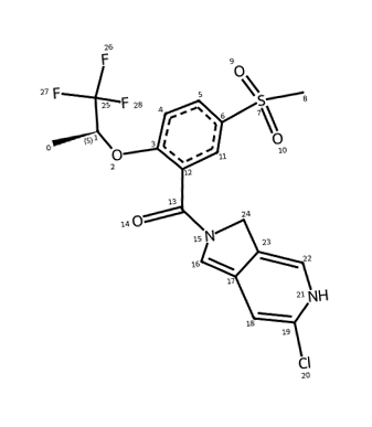 C[C@H](Oc1ccc(S(C)(=O)=O)cc1C(=O)N1C=C2C=C(Cl)NC=C2C1)C(F)(F)F